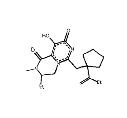 C=C(CC)C1(Cc2nc(=O)c(O)c3n2CC(CC)N(C)C3=O)CCCC1